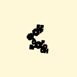 O=C(O)c1cc(Br)c(OC[C@H]2CCCN2c2ccc(C(F)(F)F)cc2)cc1F